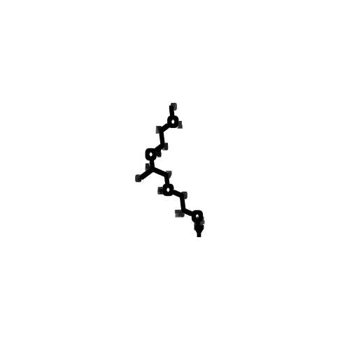 COCCOC(C)COCC[O][Y]